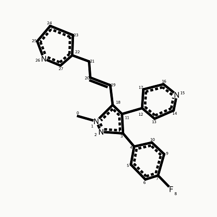 Cn1nc(-c2ccc(F)cc2)c(-c2ccncc2)c1C=CCc1cccnc1